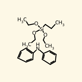 CCC[Si](OCC)(OCC)OCC.c1ccc(Nc2ccccc2)cc1